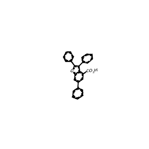 O=C(O)c1cc(-c2ccccc2)cc2oc(-c3ccccc3)c(-c3ccccc3)c12